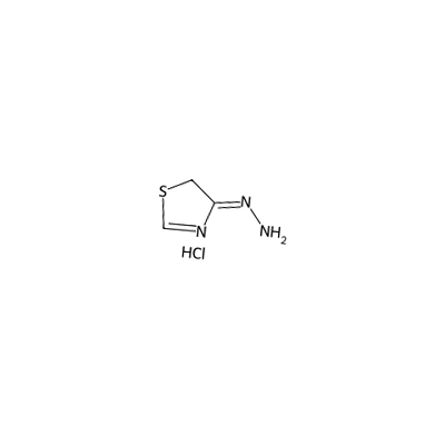 Cl.NN=C1CSC=N1